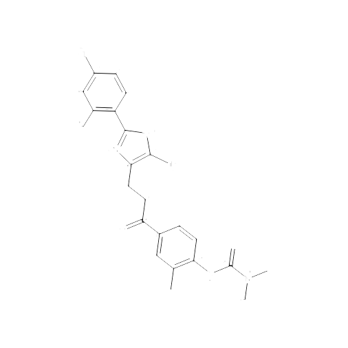 Cc1cc(C(=O)CCc2nc(-c3ccc(Cl)cc3Cl)oc2C(C)C)ccc1SC(=O)N(C)C